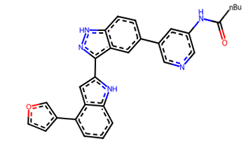 CCCCC(=O)Nc1cncc(-c2ccc3[nH]nc(-c4cc5c(-c6ccoc6)cccc5[nH]4)c3c2)c1